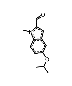 CC(C)Oc1ccc2c(c1)cc(C=O)n2C